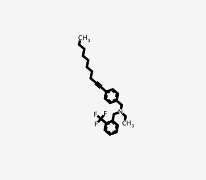 CCCCCCCCC#Cc1ccc(CN(CC)Cc2ccccc2C(F)(F)F)cc1